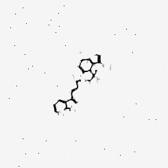 Cc1csc2c1[C@]13C[C@H]1CN(C(=O)/C=C/c1c[nH]c4ncccc14)C3=CC2=O